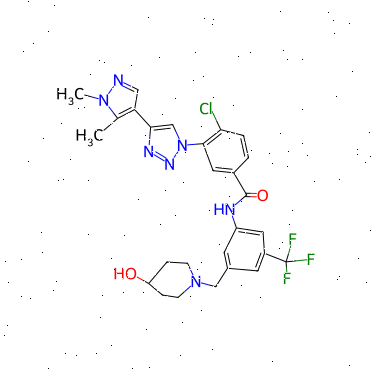 Cc1c(-c2cn(-c3cc(C(=O)Nc4cc(CN5CCC(O)CC5)cc(C(F)(F)F)c4)ccc3Cl)nn2)cnn1C